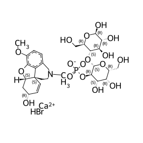 Br.COc1ccc2c3c1O[C@H]1C[C@@H](O)C=C[C@@]31CCN(C)C2.O=P([O-])([O-])O[C@H]1[C@H](O[C@H]2[C@H](O)[C@@H](O)[C@H](O)O[C@@H]2CO)O[C@H](CO)[C@H](O)[C@@H]1O.[Ca+2]